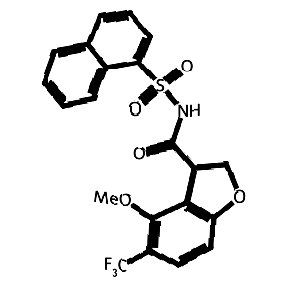 COc1c(C(F)(F)F)ccc2c1C(C(=O)NS(=O)(=O)c1cccc3ccccc13)CO2